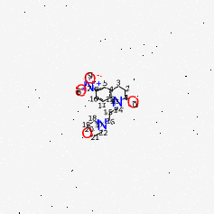 O=C1CCc2cc([N+](=O)[O-])ccc2N1CCCN1CCOCC1